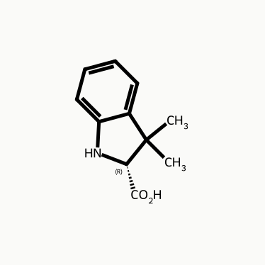 CC1(C)c2ccccc2N[C@H]1C(=O)O